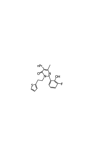 CCCc1c(C)nc(-c2cccc(F)c2O)n(CCc2cccs2)c1=O